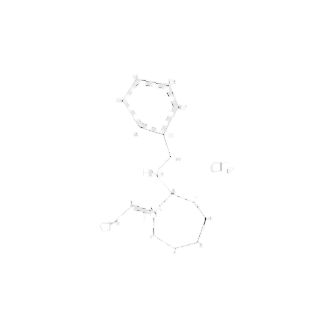 Cl/C=[N+]1\CCCCCC1NCc1ccccc1.[Cl-]